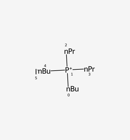 CCCC[P+](CCC)(CCC)CCCC.[I-]